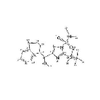 COC(c1cn(S(=O)(=O)N(C)C)c([Si](C)(C)C(C)(C)C)n1)c1ccnc2ccccc12